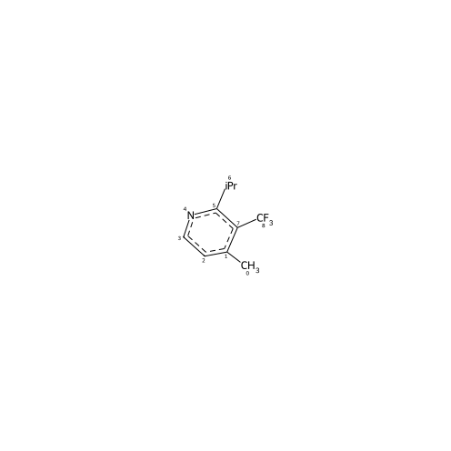 Cc1ccnc(C(C)C)c1C(F)(F)F